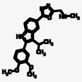 CNCc1nnc(-c2ccc3[nH]c(-c4ccc(OC)c(OC)c4)c(C(C)C)c3c2)o1